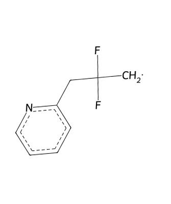 [CH2]C(F)(F)Cc1ccccn1